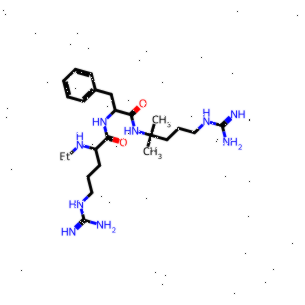 CCNC(CCCNC(=N)N)C(=O)NC(Cc1ccccc1)C(=O)NC(C)(C)CCCNC(=N)N